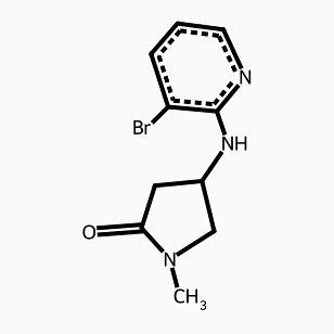 CN1CC(Nc2ncccc2Br)CC1=O